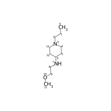 CCCN1CCC(NCCOC)CC1